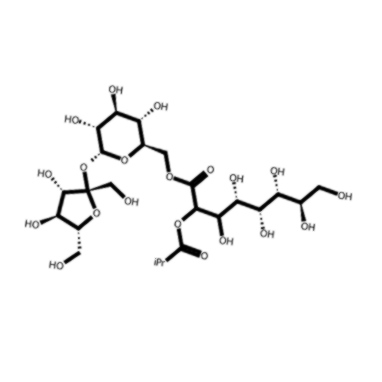 CC(C)C(=O)OC(C(=O)OC[C@H]1O[C@H](O[C@]2(CO)O[C@H](CO)[C@@H](O)[C@@H]2O)[C@H](O)[C@@H](O)[C@@H]1O)C(O)[C@H](O)[C@@H](O)[C@H](O)[C@H](O)CO